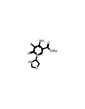 COC(=O)c1cn(C2COCN2)c(=O)c(I)c1N